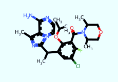 Cc1nc(C(C)c2cc(Cl)c(F)c(C(=O)N3C(C)COCC3C)c2OC(C)C)n2ccnc(N)c12